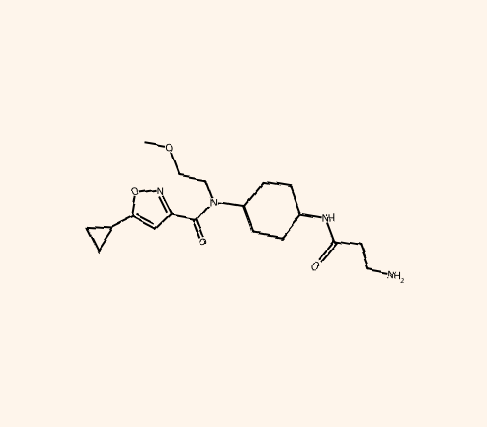 COCCN(C(=O)c1cc(C2CC2)on1)C1CCC(NC(=O)CCN)CC1